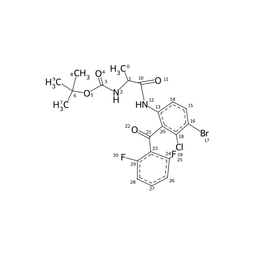 CC(NC(=O)OC(C)(C)C)C(=O)Nc1ccc(Br)c(Cl)c1C(=O)c1c(F)cccc1F